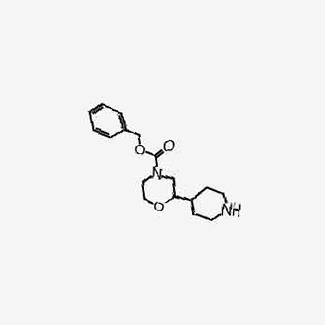 O=C(OCc1ccccc1)N1CCOC(C2CCNCC2)C1